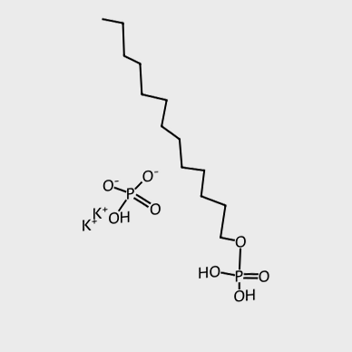 CCCCCCCCCCCCCOP(=O)(O)O.O=P([O-])([O-])O.[K+].[K+]